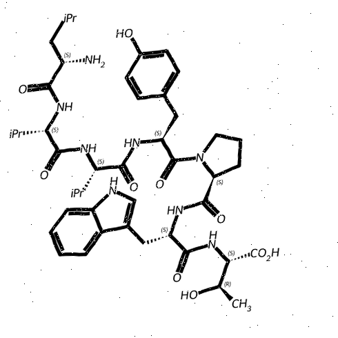 CC(C)C[C@H](N)C(=O)N[C@H](C(=O)N[C@H](C(=O)N[C@@H](Cc1ccc(O)cc1)C(=O)N1CCC[C@H]1C(=O)N[C@@H](Cc1c[nH]c2ccccc12)C(=O)N[C@H](C(=O)O)[C@@H](C)O)C(C)C)C(C)C